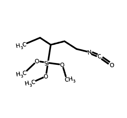 CCC(CCN=C=O)[Si](OC)(OC)OC